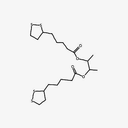 CC(OC(=O)CCCCC1CCSS1)C(C)OC(=O)CCCCC1CCSS1